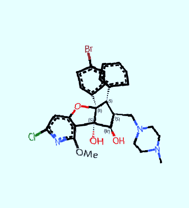 COc1nc(Cl)cc2c1[C@]1(O)[C@H](O)[C@H](CN3CCN(C)CC3)[C@@H](c3ccccc3)[C@]1(c1ccc(Br)cc1)O2